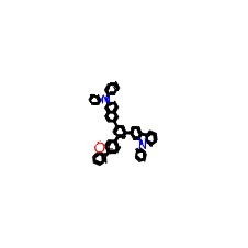 c1ccc(N(c2ccccc2)c2ccc3cc(-c4cc(-c5ccc6c(c5)oc5ccccc56)cc(-c5ccc6c7ccccc7n(-c7ccccc7)c6c5)c4)ccc3c2)cc1